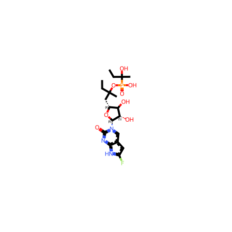 CCC(C)(C[C@H]1O[C@@H](n2cc3cc(F)[nH]c3nc2=O)[C@@H](O)C1O)OP(=O)(O)C(C)(O)CC